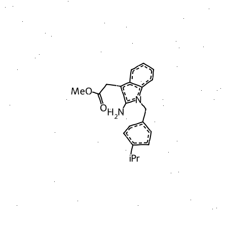 COC(=O)Cc1c(N)n(Cc2ccc(C(C)C)cc2)c2ccccc12